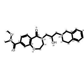 CON(C)C(=O)c1ccc2c(c1)OCCN(CC(O)CN1CCc3ccccc3C1)C2=O